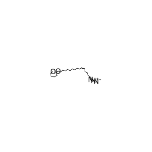 [N-]=[N+]=NCCCC/C=C\CCCCCCCCCOC1CCCCO1